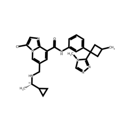 CC1CC(c2cccc(NC(=O)c3cc(CN[C@@H](C)C4CC4)cn4c(Cl)cnc34)c2)(c2nncn2C)C1